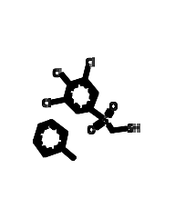 Cc1ccccc1.O=S(=O)(CS)c1cc(Cl)c(Cl)c(Cl)c1